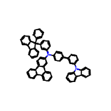 c1ccc(C2(c3cccc(N(c4ccc(-c5cccc(-n6c7ccccc7c7ccccc76)c5)cc4)c4ccc5c6ccccc6c6ccccc6c5c4)c3)c3ccccc3-c3ccccc32)cc1